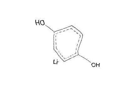 Oc1ccc(O)cc1.[Li]